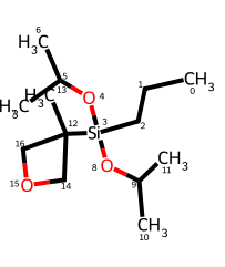 CCC[Si](OC(C)C)(OC(C)C)C1(C)COC1